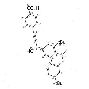 CN(C)c1c(-c2ccc(C(C)(C)C)cc2)cc(C(O)C#Cc2ccc(C(=O)O)cc2)cc1C(C)(C)C